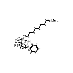 CCCCCCCCCCCCCCCCCCOP(=O)(O)P(O)(CC)(CC)CCc1ccccc1